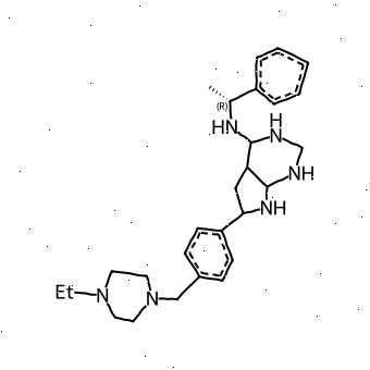 CCN1CCN(Cc2ccc(C3CC4C(NCNC4N[C@H](C)c4ccccc4)N3)cc2)CC1